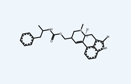 CC(Cc1ccccc1)NC(=O)OCC1C=C2c3cccc4[nH]c(Br)c(c34)C[C@@H]2N(C)C1